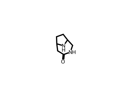 O=C1CC2CCC(CN1)N2